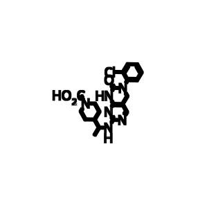 CC(Nc1ncc2c(n1)NC(=O)N(c1ccccc1Cl)C2)C1CCN(C(=O)O)CC1